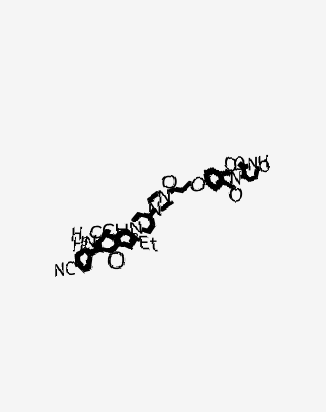 CCc1cc2c(cc1N1CCC(N3CCN(C(=O)CCOc4ccc5c(c4)C(=O)N(C4CCC(=O)NC4=O)C5=O)CC3)CC1)C(C)(C)c1[nH]c3cc(C#N)ccc3c1C2=O